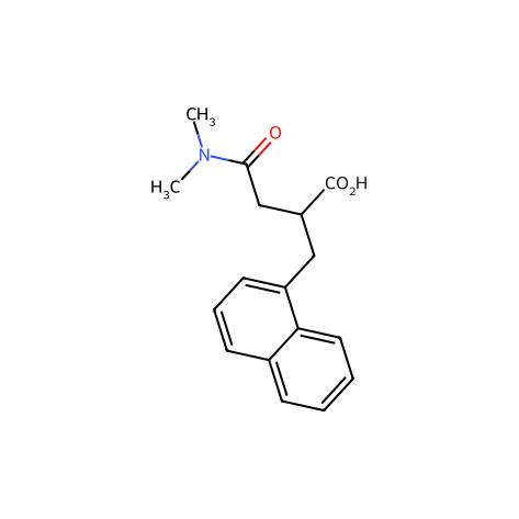 CN(C)C(=O)CC(Cc1cccc2ccccc12)C(=O)O